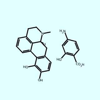 CN1CCc2cccc3c2[C@H]1Cc1ccc(O)c(O)c1-3.Nc1ccc(C(=O)O)c(O)c1